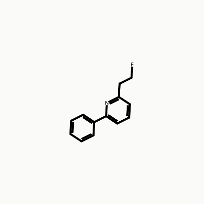 FCCc1cccc(-c2ccccc2)n1